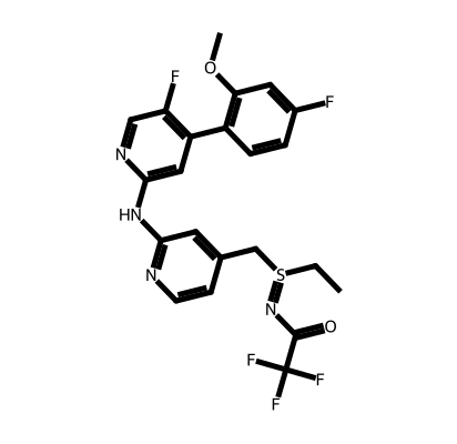 CCS(Cc1ccnc(Nc2cc(-c3ccc(F)cc3OC)c(F)cn2)c1)=NC(=O)C(F)(F)F